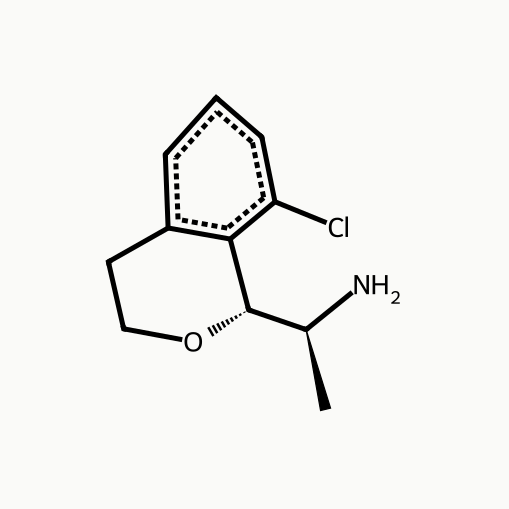 C[C@H](N)[C@@H]1OCCc2cccc(Cl)c21